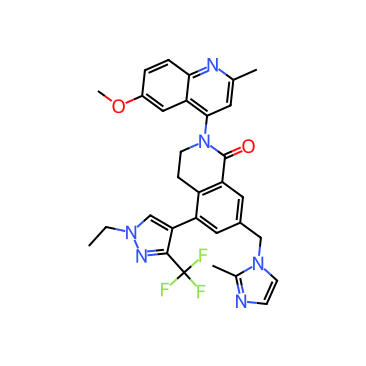 CCn1cc(-c2cc(Cn3ccnc3C)cc3c2CCN(c2cc(C)nc4ccc(OC)cc24)C3=O)c(C(F)(F)F)n1